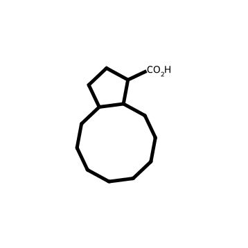 O=C(O)C1CCC2CCCCCCCCC21